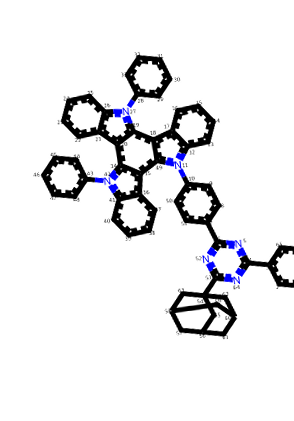 c1ccc(-c2nc(-c3ccc(-n4c5ccccc5c5c6c(c7ccccc7n6-c6ccccc6)c6c(c7ccccc7n6-c6ccccc6)c54)cc3)nc(C34CC5CC(CC(C5)C3)C4)n2)cc1